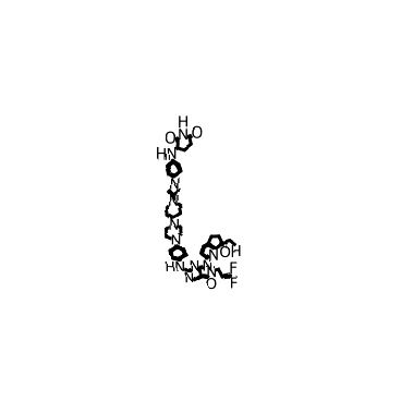 CC[C@@]1(O)CCc2ccc(-n3c4nc(Nc5ccc(N6CCN(C7CCN(C8CN(c9ccc(NC%10CCC(=O)NC%10=O)cc9)C8)CC7)CC6)cc5)ncc4c(=O)n3CC=C(F)F)nc21